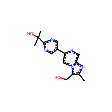 Cc1nc2cnc(-c3cnc(C(C)(C)O)nc3)cn2c1CO